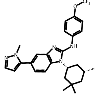 C[C@H]1C[C@@H](n2c(Nc3ccc(OC(F)(F)F)cc3)nc3cc(-c4ccnn4C)ccc32)CC(C)(C)C1